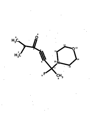 CC(C)C(=O)C#CC(C)(F)N1CCOCC1